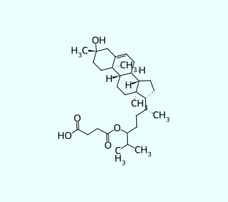 CC(C)C(CC[C@@H](C)[C@H]1CC[C@H]2[C@@H]3CC=C4C[C@@](C)(O)CC[C@]4(C)[C@H]3CC[C@]12C)OC(=O)CCC(=O)O